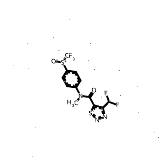 CN(C(=O)c1snnc1C(F)F)c1ccc([S+]([O-])C(F)(F)F)cc1